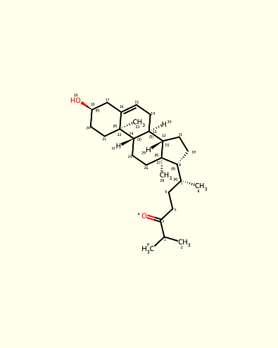 CC(C)C(=O)CC[C@@H](C)[C@H]1CC[C@H]2[C@@H]3CC=C4C[C@H](O)CC[C@]4(C)[C@H]3CC[C@]12C